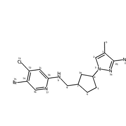 Cc1cn(C2CCC(CNc3cc(Cl)c(Br)cn3)C2)nc1N